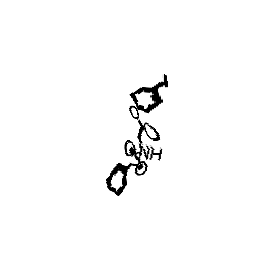 O=C(CNS(=O)(=O)c1ccccc1)Oc1ccc(I)cc1